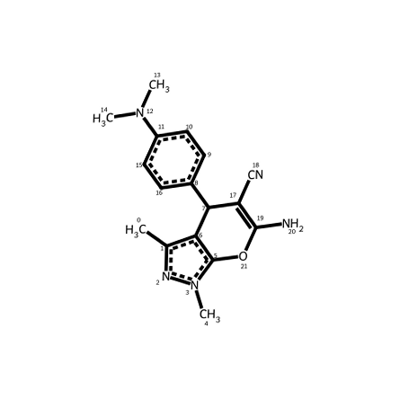 Cc1nn(C)c2c1C(c1ccc(N(C)C)cc1)C(C#N)=C(N)O2